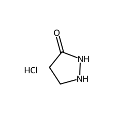 Cl.O=C1CCNN1